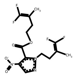 CC(CCOC(=O)c1c([N+](=O)[O-])cnn1CCC(C)=C(F)F)=C(F)F